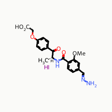 COc1cc(C=NN)ccc1C(=O)N[C@H](C)C(=O)c1ccc(OCC(=O)O)cc1.I